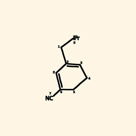 CC(C)CC1=CCCC(C#N)=C1